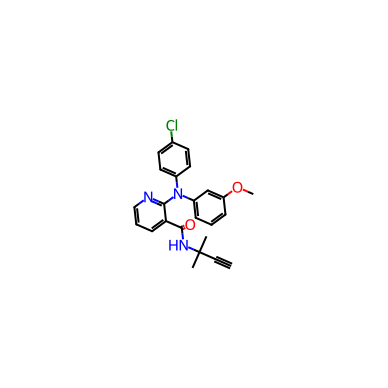 C#CC(C)(C)NC(=O)c1cccnc1N(c1ccc(Cl)cc1)c1cccc(OC)c1